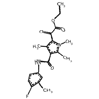 CCOC(=O)C(=O)c1c(C)c(C(=O)Nc2ccc(F)c(C)c2)c(C)n1C